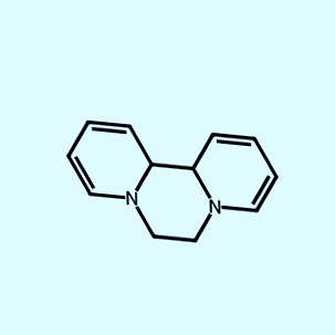 C1=CC2C3C=CC=CN3CCN2C=C1